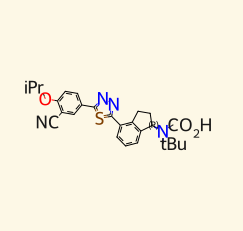 CC(C)Oc1ccc(-c2nnc(-c3cccc4c3CC[C@H]4N(C(=O)O)C(C)(C)C)s2)cc1C#N